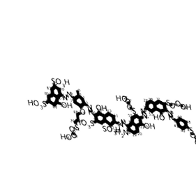 Cc1cc(N=Nc2c(S(=O)(=O)O)cc3c(S(=O)(=O)O)c(N=Nc4c(N)ccc5c(O)c(N=Nc6ccc7cc(SOOO)c(N=Nc8ccc(SOOO)cc8)c(O)c7c6)c(SOOO)cc45)ccc3c2O)c(OCCCSOOO)cc1N=Nc1cc(S(=O)(=O)O)cc2cc(S(=O)(=O)O)cc(O)c12